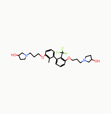 Cc1c(OCCCN2CCC(O)C2)cccc1-c1cccc(OCCCN2CCC(O)C2)c1C(F)(F)F